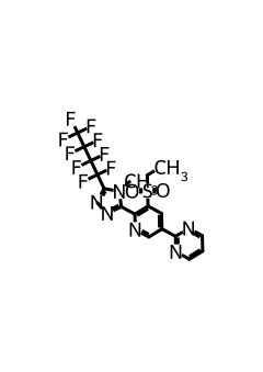 CCS(=O)(=O)c1cc(-c2ncccn2)cnc1-c1nnc(C(F)(F)C(F)(F)C(F)(F)C(F)(F)F)n1C